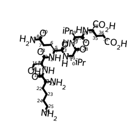 CC(C)[C@H](NC(=O)[C@H](CCC(N)=O)NC(=O)[C@H](CO)NC(=O)[C@@H](N)CCCCN)C(=O)N[C@H](C(=O)N[C@@H](CCC(=O)O)C(=O)O)C(C)C